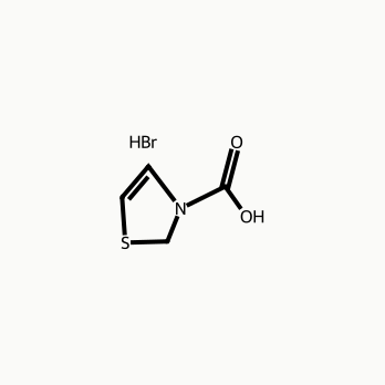 Br.O=C(O)N1C=CSC1